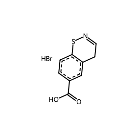 Br.O=C(O)c1ccc2c(c1)CC=NS2